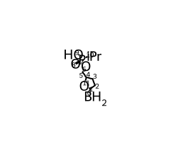 BC1CCC(COP(=O)(O)C(C)C)O1